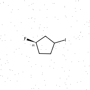 F[C@@H]1CCC(I)C1